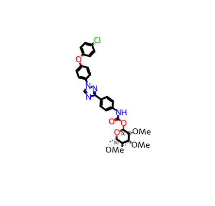 CO[C@@H]1[C@@H](OC)[C@H](C)O[C@@H](OC(=O)Nc2ccc(-c3ncn(-c4ccc(Oc5ccc(Cl)cc5)cc4)n3)cc2)[C@@H]1OC